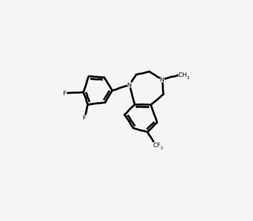 CN1CCN(c2ccc(F)c(F)c2)c2ccc(C(F)(F)F)cc2C1